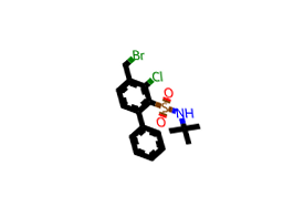 CC(C)(C)NS(=O)(=O)c1c(-c2ccccc2)ccc(CBr)c1Cl